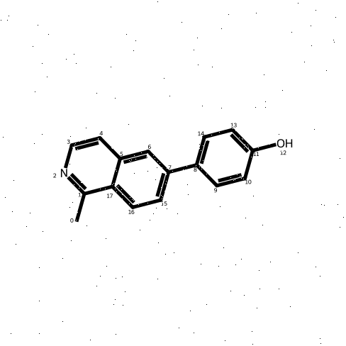 Cc1nccc2cc(-c3ccc(O)cc3)ccc12